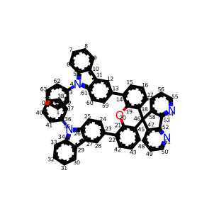 c1ccc(-n2c3ccccc3c3cc(-c4cccc5c4Oc4c(-c6ccc7c(c6)c6ccccc6n7-c6ccccc6)cccc4C54c5cccnc5-c5ncccc54)ccc32)cc1